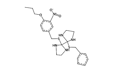 CCCOc1ccc(CSC2(C3(SCc4ccccc4)NCCN3)NCCN2)cc1[N+](=O)[O-]